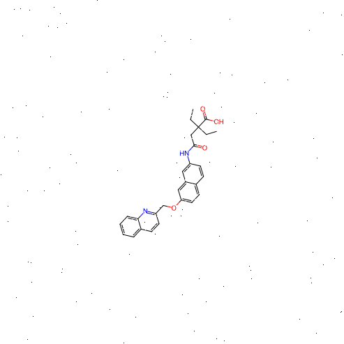 CCC(CC)(CC(=O)Nc1ccc2ccc(OCc3ccc4ccccc4n3)cc2c1)C(=O)O